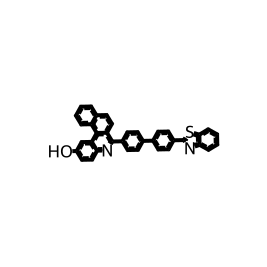 Oc1ccc2nc(-c3ccc(-c4ccc(-c5nc6ccccc6s5)cc4)cc3)c3ccc4ccccc4c3c2c1